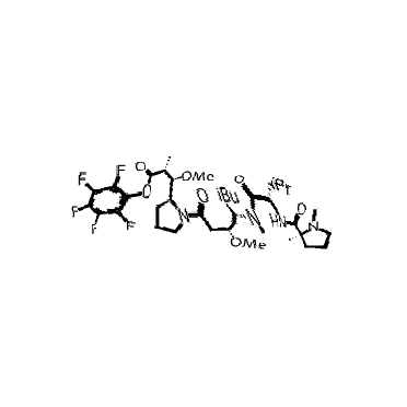 CC[C@H](C)[C@@H]([C@@H](CC(=O)N1CCC[C@H]1[C@H](OC)[C@@H](C)C(=O)Oc1c(F)c(F)c(F)c(F)c1F)OC)N(C)C(=O)[C@@H](NC(=O)[C@]1(C)CCCN1C)C(C)C